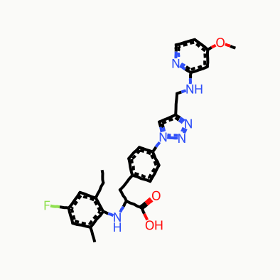 CCc1cc(F)cc(C)c1NC(Cc1ccc(-n2cc(CNc3cc(OC)ccn3)nn2)cc1)C(=O)O